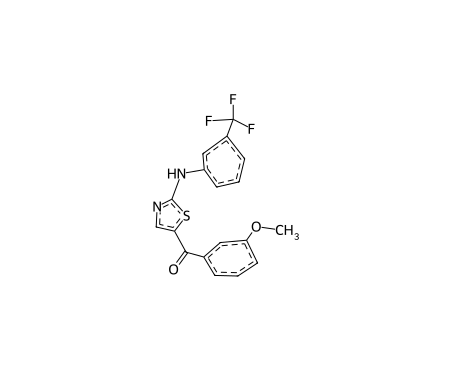 COc1cccc(C(=O)c2cnc(Nc3cccc(C(F)(F)F)c3)s2)c1